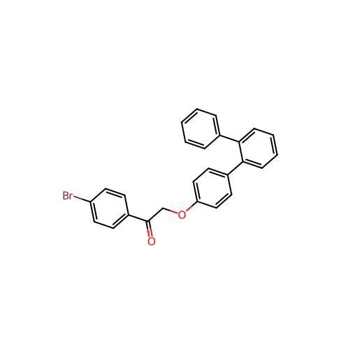 O=C(COc1ccc(-c2ccccc2-c2ccccc2)cc1)c1ccc(Br)cc1